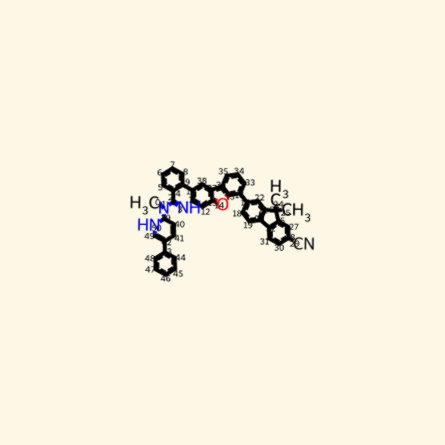 CN(C(=N)c1ccccc1-c1ccc2oc3c(-c4ccc5c(c4)C(C)(C)c4cc(C#N)ccc4-5)cccc3c2c1)C1C=CC(c2ccccc2)=CN1